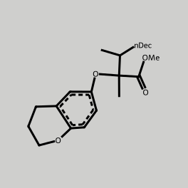 CCCCCCCCCCC(C)C(C)(Oc1ccc2c(c1)CCCO2)C(=O)OC